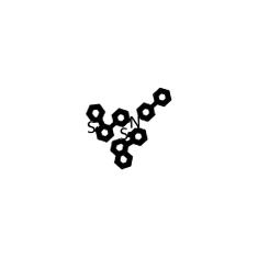 c1ccc(-c2ccc(N(c3cccc(-c4cccc5sc6ccccc6c45)c3)c3cccc4c3sc3ccc5ccccc5c34)cc2)cc1